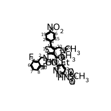 CCOC(=O)N(Cc1c(F)cccc1F)c1sc(-c2ccc([N+](=O)[O-])cc2)c(CN(C)C)c1C(=O)Nc1ccc(NS(C)(=O)=O)nn1